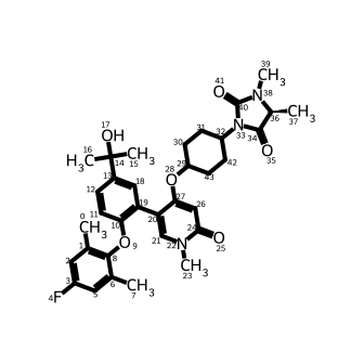 Cc1cc(F)cc(C)c1Oc1ccc(C(C)(C)O)cc1-c1cn(C)c(=O)cc1OC1CCC(N2C(=O)[C@H](C)N(C)C2=O)CC1